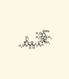 COc1cc(C)c(S(=O)(=O)N(C)C2CCN(CCNC(=O)Nc3cc(C)nc(C)c3)CC2)c(C)c1C